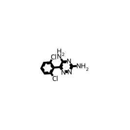 Nc1nnc(-c2c(Cl)cccc2Cl)c(N)n1